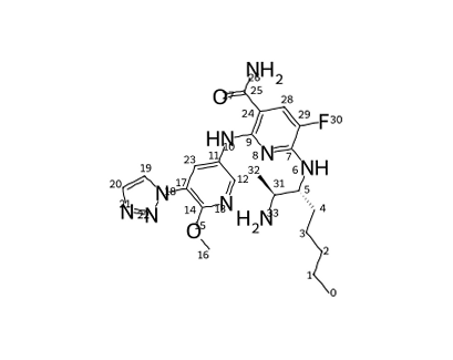 CCCCC[C@@H](Nc1nc(Nc2cnc(OC)c(-n3ccnn3)c2)c(C(N)=O)cc1F)[C@H](C)N